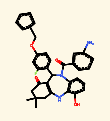 CC1(C)CC(=O)C2=C(C1)Nc1c(O)cccc1N(C(=O)c1cccc(N)c1)C2c1ccc(OCc2ccccc2)cc1F